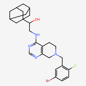 OC(CNc1ncnc2c1CCN(Cc1cc(Br)ccc1F)C2)C12CC3CC(CC(C3)C1)C2